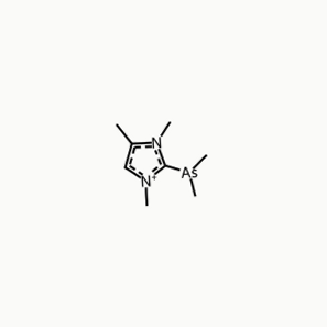 Cc1c[n+](C)c([As](C)C)n1C